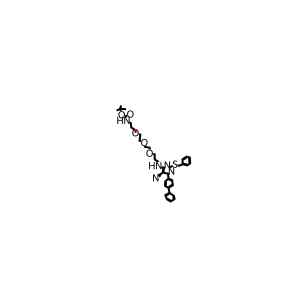 CC(C)(C)OC(=O)NCCCOCCOCCOCCCNc1nc(SCc2ccccc2)nc(-c2ccc(-c3ccccc3)cc2)c1C#N